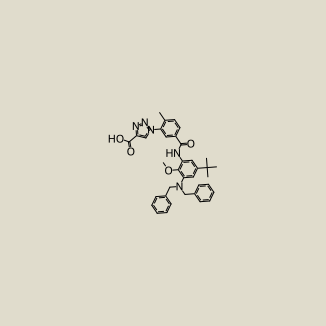 COc1c(NC(=O)c2ccc(C)c(-n3cc(C(=O)O)nn3)c2)cc(C(C)(C)C)cc1N(Cc1ccccc1)Cc1ccccc1